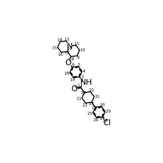 O=C(Nc1ccc(OC2CCCN3CCCCC23)cc1)C1CCC(c2ccc(Cl)cc2)CC1